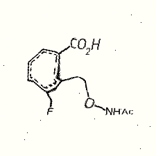 CC(=O)NOCc1c(F)cccc1C(=O)O